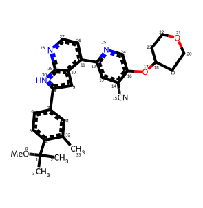 COC(C)(C)c1ccc(-c2cc3c(-c4cc(C#N)c(OC5CCOCC5)cn4)ccnc3[nH]2)cc1C